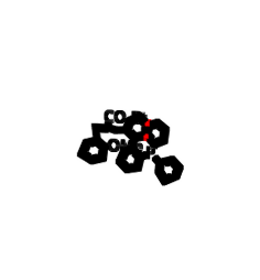 CCOC(=O)C(=Cc1ccccc1OC)Cc1ccccc1-c1ccccc1P(c1ccccc1)c1ccccc1